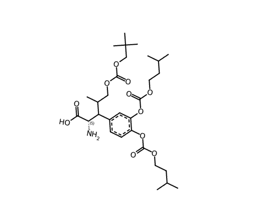 CC(C)CCOC(=O)Oc1ccc(C(C(C)COC(=O)OCC(C)(C)C)[C@H](N)C(=O)O)cc1OC(=O)OCCC(C)C